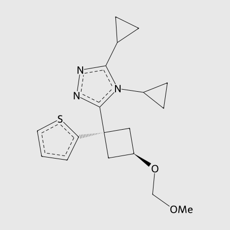 COCO[C@H]1C[C@@](c2cccs2)(c2nnc(C3CC3)n2C2CC2)C1